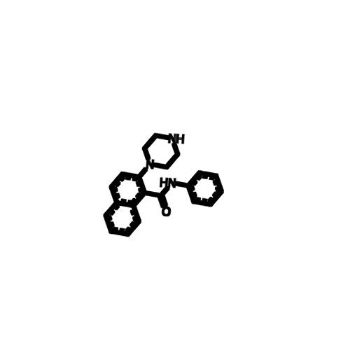 O=C(Nc1ccccc1)c1c(N2CCNCC2)ccc2ccccc12